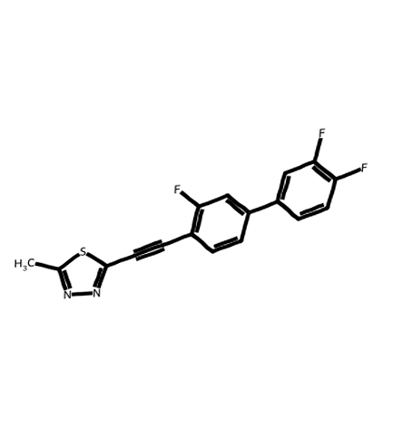 Cc1nnc(C#Cc2ccc(-c3ccc(F)c(F)c3)cc2F)s1